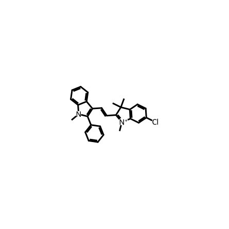 Cn1c(-c2ccccc2)c(/C=C/C2=[N+](C)c3cc(Cl)ccc3C2(C)C)c2ccccc21